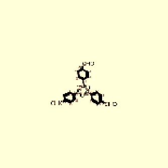 O=Cc1ccc(B2OB(c3ccc(C=O)cc3)OB(c3ccc(C=O)cc3)O2)cc1